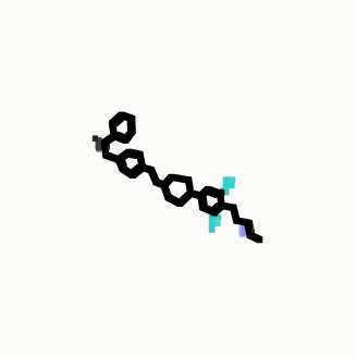 C/C=C/CCc1c(F)cc(C2CCC(CCc3ccc(C[C@H](C)c4ccccc4)cc3)CC2)cc1F